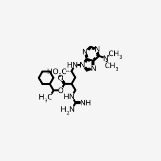 CC(OC(=O)C(CNC(=N)N)C[C@@H](Nn1cnc2c(N(C)C)ncnc21)C(=O)O)C1CCCCC1